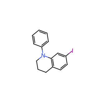 Ic1ccc2c(c1)N(c1ccccc1)CCC2